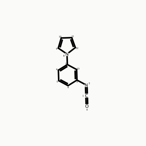 O=C=Nc1cccc(-n2cccc2)c1